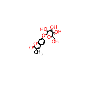 Cc1cc2ccc(OC3O[C@H](CO)[C@H](O)[C@H](O)[C@H]3O)cc2oc1=O